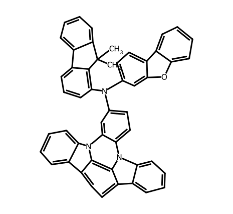 CC1(C)c2ccccc2-c2cccc(N(c3ccc4c(c3)oc3ccccc34)c3ccc4c(c3)n3c5ccccc5c5ccc6c7ccccc7n4c6c53)c21